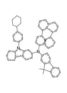 CC1(C)c2ccccc2-c2ccc(N(c3ccc(-c4cccc5cccc(-c6ccccc6)c45)cc3)c3ccc4c5ccccc5n(-c5ccc(C6CCCCC6)cc5)c4c3)cc21